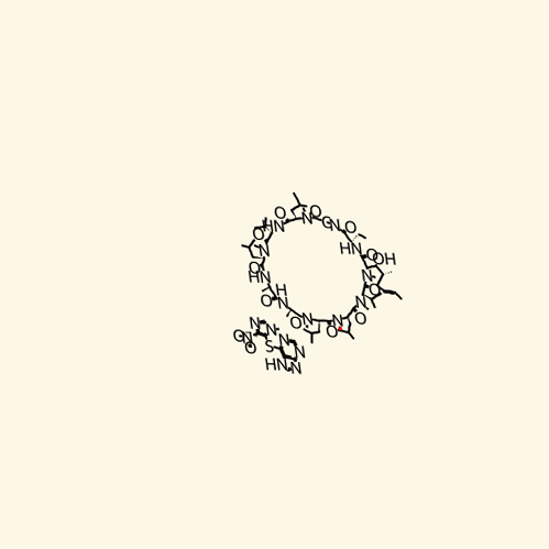 C/C=C/C[C@@H](C)[C@@H](O)[C@@H]1C(=O)N[C@@H](CC)C(=O)N(C)CC(=O)N(C)[C@H](CC(C)C)C(=O)N[C@@H](C(C)C)C(=O)N(C)[C@H](CC(C)C)C(=O)N[C@H](C)C(=O)N[C@H](C)C(=O)N(C)[C@H](CC(C)C)C(=O)N(C)[C@H](CC(C)C)C(=O)N(C)[C@H](C(C)C)C(=O)N1C.Cn1cnc([N+](=O)[O-])c1Sc1ncnc2nc[nH]c12